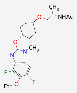 CCOc1c(F)cc2c(nc(O[C@H]3CC[C@H](OC[C@H](C)NC(C)=O)CC3)n2C)c1F